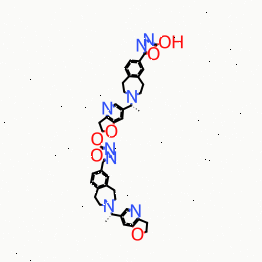 C[C@H](c1cnc2c(c1)OC(Oc1nnc(-c3ccc4c(c3)CCN([C@@H](C)c3cnc5c(c3)OCC5)CC4)o1)C2)N1CCc2ccc(-c3nnc(O)o3)cc2CC1